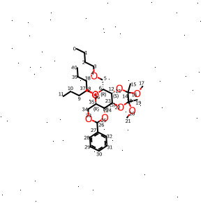 CCCCOC[C@@H](OCCCC)[C@@H]1OC(C)(OC)C(C)(OC)O[C@H]1[C@@H]1OC(c2ccccc2)OC[C@H]1OCCCC